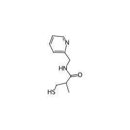 CC(CS)C(=O)NCc1ccccn1